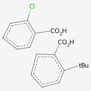 CC(C)(C)c1ccccc1C(=O)O.O=C(O)c1ccccc1Cl